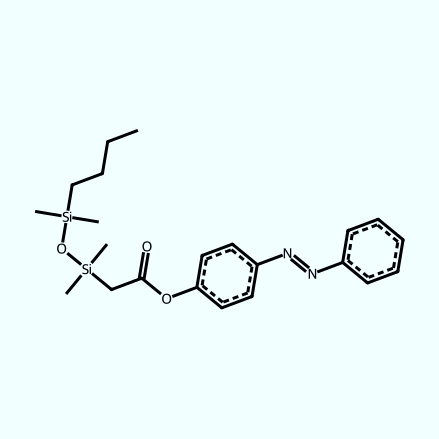 CCCC[Si](C)(C)O[Si](C)(C)CC(=O)Oc1ccc(N=Nc2ccccc2)cc1